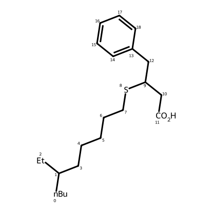 CCCCC(CC)CCCCCSC(CC(=O)O)Cc1ccccc1